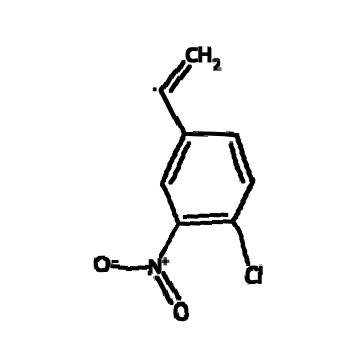 C=[C]c1ccc(Cl)c([N+](=O)[O-])c1